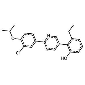 CCc1cccc(O)c1-c1cnc(-c2ccc(OC(C)C)c(Cl)c2)nc1